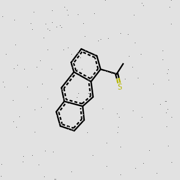 CC(=S)c1cccc2cc3ccccc3cc12